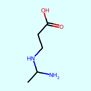 CC(N)NCCC(=O)O